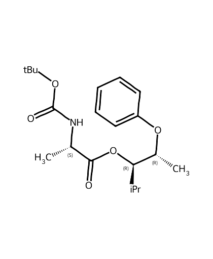 CC(C)[C@@H](OC(=O)[C@H](C)NC(=O)OC(C)(C)C)[C@@H](C)Oc1ccccc1